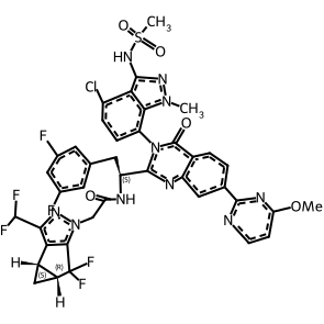 COc1ccnc(-c2ccc3c(=O)n(-c4ccc(Cl)c5c(NS(C)(=O)=O)nn(C)c45)c([C@H](Cc4cc(F)cc(F)c4)NC(=O)Cn4nc(C(F)F)c5c4C(F)(F)[C@@H]4C[C@H]54)nc3c2)n1